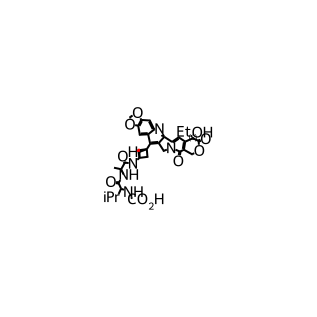 CC[C@@]1(O)C(=O)OCc2c1cc1n(c2=O)Cc2c-1nc1cc3c(cc1c2C12CC(NC(=O)C(C)NC(=O)C(NC(=O)O)C(C)C)(C1)C2)OCO3